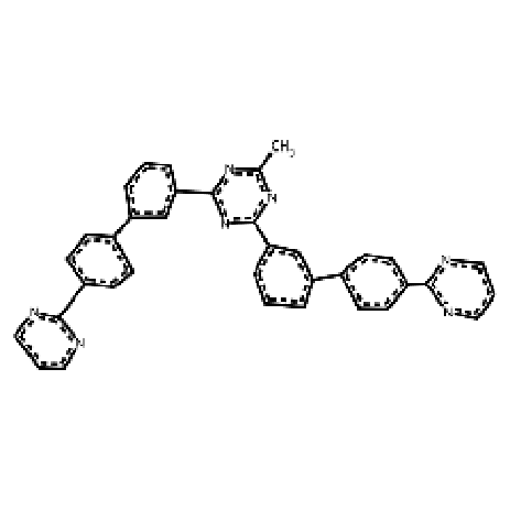 Cc1nc(-c2cccc(-c3ccc(-c4ncccn4)cc3)c2)nc(-c2cccc(-c3ccc(-c4ncccn4)cc3)c2)n1